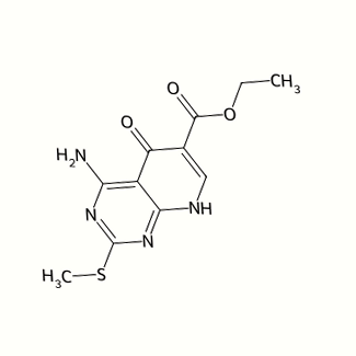 CCOC(=O)c1c[nH]c2nc(SC)nc(N)c2c1=O